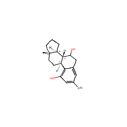 CC(=O)Oc1cc(O)c2c(c1)CC(O)[C@@H]1[C@@H]2CC[C@]2(C)CCC[C@@H]12